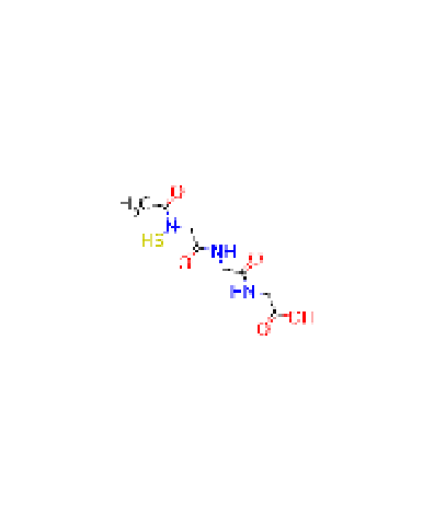 CC(=O)N(S)CC(=O)NCC(=O)NCC(=O)O